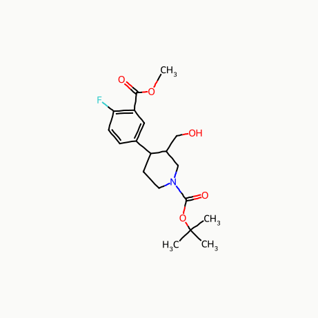 COC(=O)c1cc(C2CCN(C(=O)OC(C)(C)C)CC2CO)ccc1F